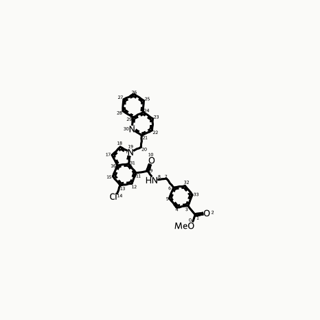 COC(=O)c1ccc(CNC(=O)c2cc(Cl)cc3ccn(Cc4ccc5ccccc5n4)c23)cc1